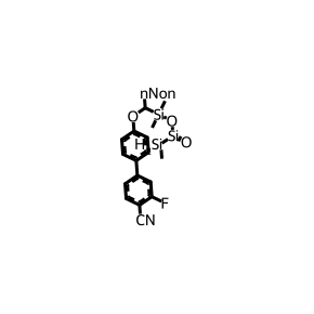 CCCCCCCCCC(Oc1ccc(-c2ccc(C#N)c(F)c2)cc1)[Si](C)(C)O[Si](=O)[SiH2]C